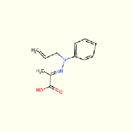 C=CCN(N=C(C)C(=O)O)c1ccccc1